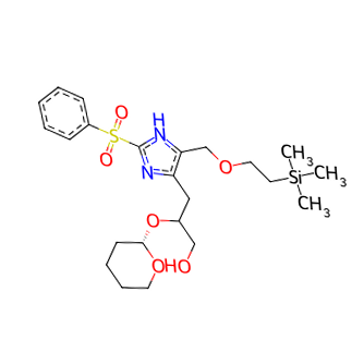 C[Si](C)(C)CCOCc1[nH]c(S(=O)(=O)c2ccccc2)nc1CC(CO)O[C@H]1CCCCO1